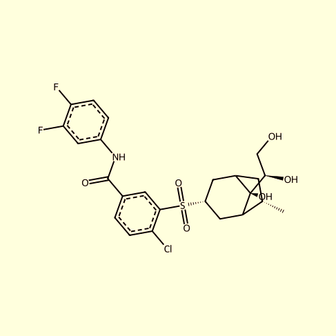 C[C@H]1CC2C[C@@H](S(=O)(=O)c3cc(C(=O)Nc4ccc(F)c(F)c4)ccc3Cl)CC1[C@@]2(O)[C@H](O)CO